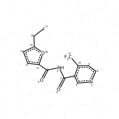 O=C(NC(=O)c1cnccc1C(F)(F)F)c1ccc(CI)o1